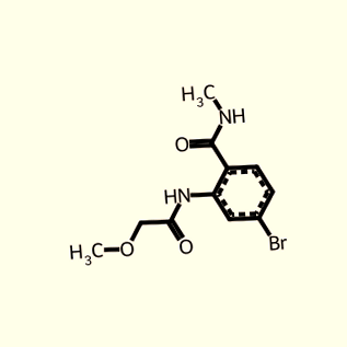 CNC(=O)c1ccc(Br)cc1NC(=O)COC